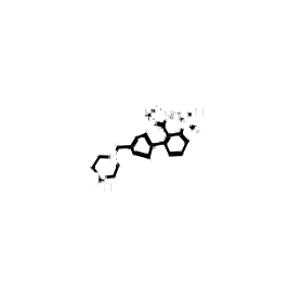 CN1CCN(Cc2ccc(-c3cccc(S(C)(=O)=O)c3-c3nnn[nH]3)cc2)CC1